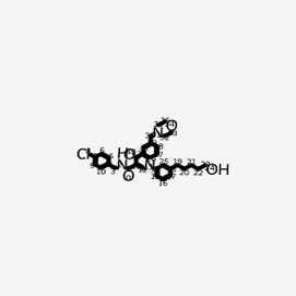 O=C(NCc1ccc(Cl)cc1)c1cn(-c2cccc(CCCCCO)c2)c2ccc(CN3CCOCC3)cc2c1=O